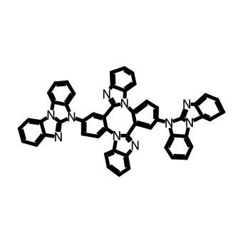 c1ccc2c(c1)nc1c3cc(-n4c5ccccc5n5c6ccccc6nc45)ccc3n3c4ccccc4nc3c3cc(-n4c5ccccc5n5c6ccccc6nc45)ccc3n21